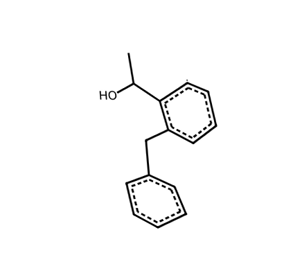 CC(O)c1[c]cccc1Cc1ccccc1